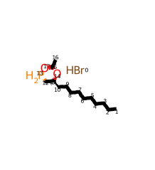 Br.CCCCCCCCCC[C@@H](CP)OC(C)=O